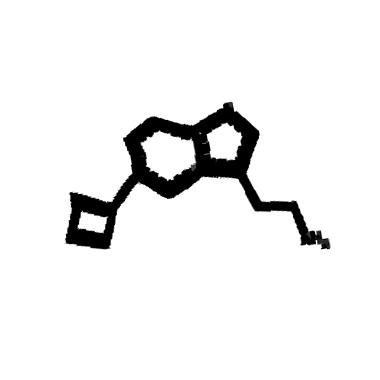 NCCc1csc2ccc(C3=CC=C3)cc12